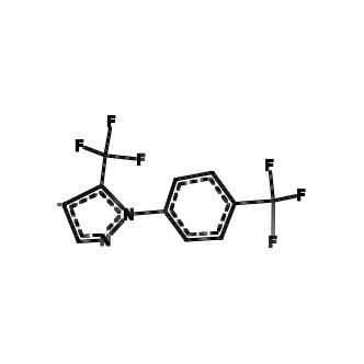 FC(F)(F)c1ccc(-n2nc[c]c2C(F)(F)F)cc1